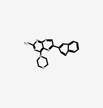 Nc1nc(N2CCOCC2)c2nc(-c3ccc4ccccc4c3)cnc2n1